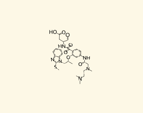 CSc1nc2ccccc2n1CC(C)Oc1cc(NC(=O)CN(C)CCN(C)C)ccc1S(=O)(=O)NC(C=O)CC(=O)O